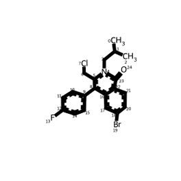 CC(C)Cn1c(CCl)c(-c2ccc(F)cc2)c2cc(Br)ccc2c1=O